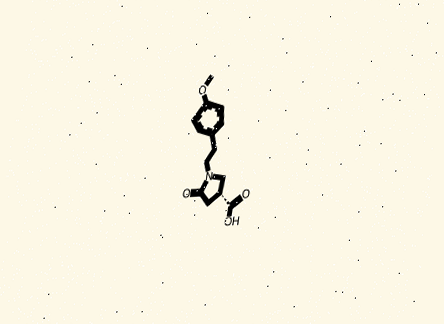 COc1ccc(CCN2C[C@H](C(=O)O)CC2=O)cc1